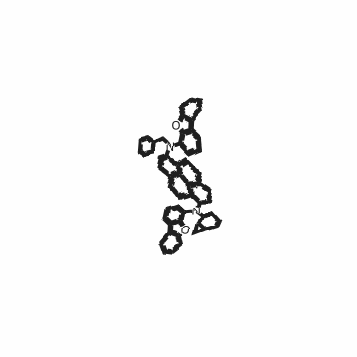 C1=CC2CC2C(N(c2ccc3ccc4c(N(Cc5ccccc5)c5cccc6c5oc5ccccc56)ccc5ccc2c3c54)c2cccc3c2oc2ccccc23)=C1